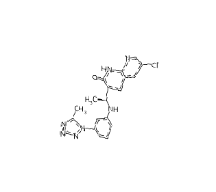 Cc1nnnn1-c1cccc(N[C@@H](C)c2cc3cc(Cl)cnc3[nH]c2=O)c1